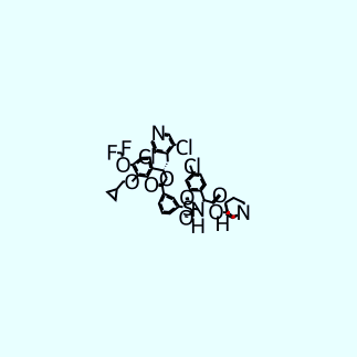 O=C(O[C@@H](Cc1c(Cl)cncc1Cl)c1ccc(OC(F)F)c(OCC2CC2)c1)c1cccc(S(=O)(=O)NC(C(=O)O[C@H]2CN3CCC2CC3)c2ccc(Cl)cc2)c1